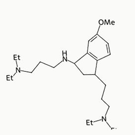 CCN(CC)CCCNC1CC(CCCN(CC)CC)c2ccc(OC)cc21